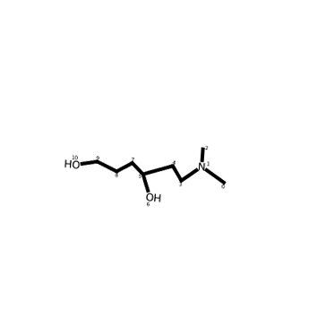 CN(C)CCC(O)CCCO